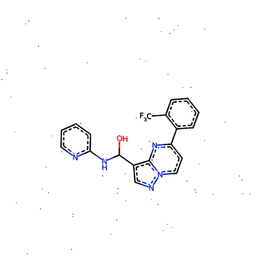 OC(Nc1ccccn1)c1cnn2ccc(-c3ccccc3C(F)(F)F)nc12